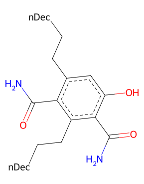 CCCCCCCCCCCCc1cc(O)c(C(N)=O)c(CCCCCCCCCCCC)c1C(N)=O